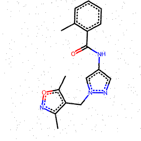 Cc1ccccc1C(=O)Nc1cnn(Cc2c(C)noc2C)c1